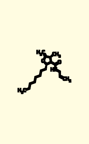 C=CCNC(=O)C1[C@H](C)C(=C)O[C@@H]1CCCCCCCC